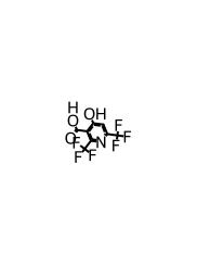 O=C(O)c1c(O)cc(C(F)(F)F)nc1C(F)(F)F